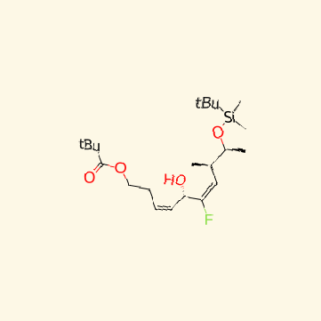 C[C@H](/C=C(/F)[C@@H](O)/C=C\CCOC(=O)C(C)(C)C)[C@H](C)O[Si](C)(C)C(C)(C)C